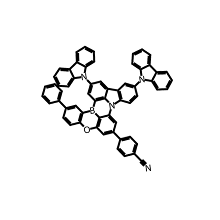 N#Cc1ccc(-c2cc3c4c(c2)-n2c5ccc(-n6c7ccccc7c7ccccc76)cc5c5cc(-n6c7ccccc7c7ccccc76)cc(c52)B4c2cc(-c4ccccc4)ccc2O3)cc1